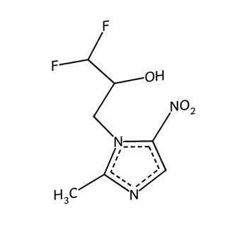 Cc1ncc([N+](=O)[O-])n1CC(O)C(F)F